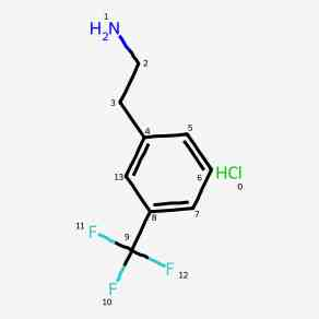 Cl.NCCc1cccc(C(F)(F)F)c1